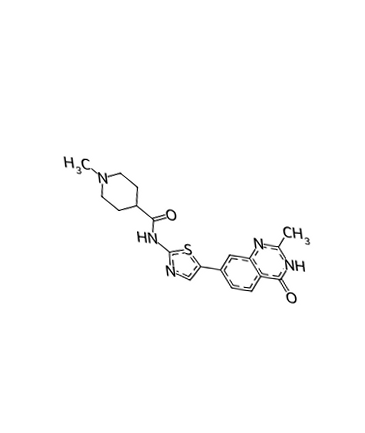 Cc1nc2cc(-c3cnc(NC(=O)C4CCN(C)CC4)s3)ccc2c(=O)[nH]1